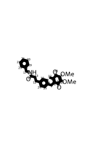 COC1=C(OC)C(=O)C(Cc2ccc(CCC(=O)NCc3ccccc3)cc2)=C(C)C1=O